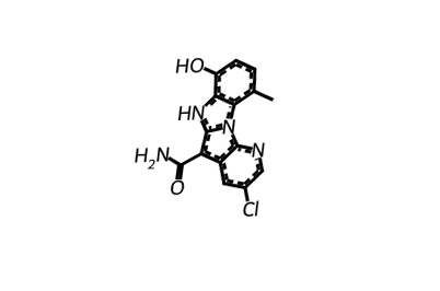 Cc1ccc(O)c2[nH]c3c(C(N)=O)c4cc(Cl)cnc4n3c12